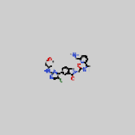 CNCc1cccc(C(C)NC(=O)CN2Cc3ccc(-c4nc(NC5CCOCC5)ncc4Cl)cc3C2=O)n1